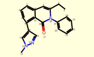 CCc1cc2cccc(-c3cnn(C)c3)c2c(=O)n1-c1ccccc1